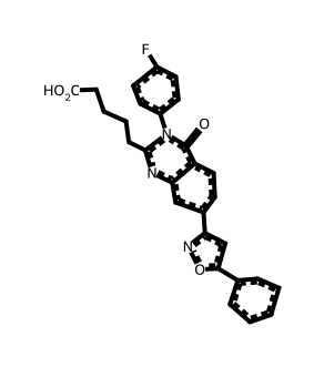 O=C(O)CCCCc1nc2cc(-c3cc(-c4ccccc4)on3)ccc2c(=O)n1-c1ccc(F)cc1